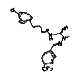 CN(N=Cc1ccc(C(F)(F)F)cc1)C(=N)NN=CC=Cc1ccc(Cl)cc1